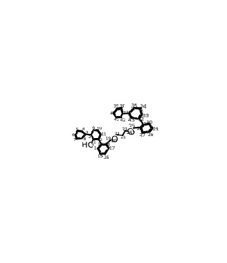 Oc1c(-c2ccccc2)cccc1-c1ccccc1COCCCOCc1ccccc1-c1cccc(-c2ccccc2)c1